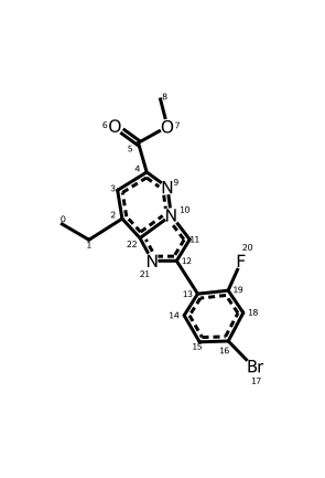 CCc1cc(C(=O)OC)nn2cc(-c3ccc(Br)cc3F)nc12